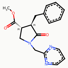 COC(=O)[C@H]1CN(Cc2ncccn2)C(=O)[C@@H]1Cc1ccccc1